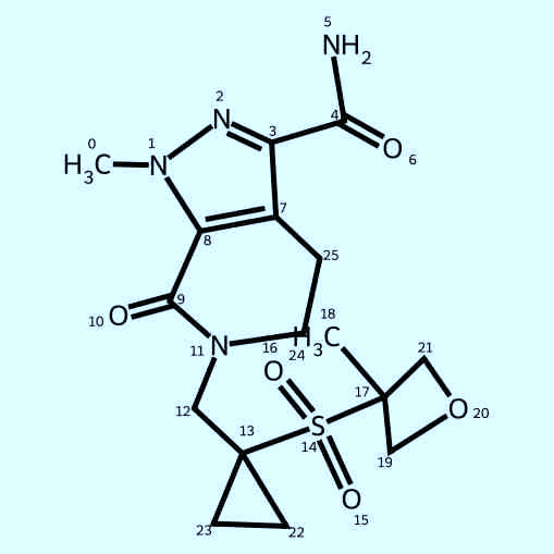 Cn1nc(C(N)=O)c2c1C(=O)N(CC1(S(=O)(=O)C3(C)COC3)CC1)CC2